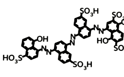 O=S(=O)(O)c1ccc2c(N=Nc3ccc(S(=O)(=O)O)c4cccc(O)c34)ccc(N=Nc3ccc(N=Nc4cc(S(=O)(=O)O)c(O)c5ccc(S(=O)(=O)O)c(O)c45)c4cc(S(=O)(=O)O)ccc34)c2c1